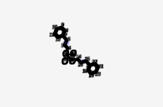 O=S(=O)(OC/C=C/c1ccccc1)OC/C=C/c1ccccc1